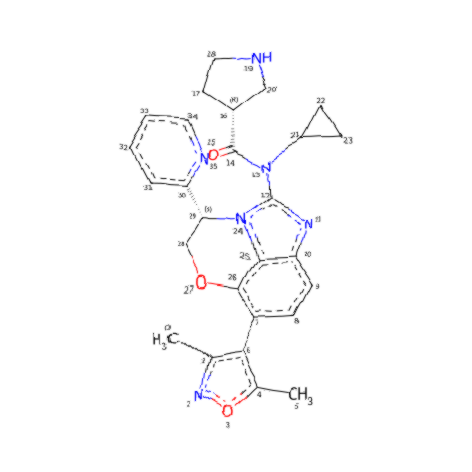 Cc1noc(C)c1-c1ccc2nc(N(C(=O)[C@@H]3CCNC3)C3CC3)n3c2c1OC[C@@H]3c1ccccn1